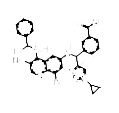 CCC([AsH]c1c(C#N)cnc2c(Br)cc(NC(c3cccc(C(N)=O)c3)c3cn(C4CC4)nn3)cc12)c1ccccc1